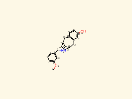 COc1cccc(CNC2C3CCC2Cc2cc(O)ccc2C3)c1